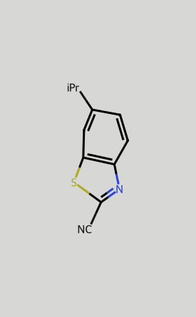 CC(C)c1ccc2nc(C#N)sc2c1